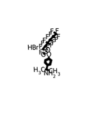 Br.CC(C)(N)c1ccc(OS(=O)(=O)C(F)(F)C(F)(F)C(F)(F)C(F)(F)C(F)(F)C(F)(F)F)cc1